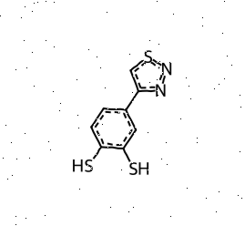 Sc1ccc(-c2csnn2)cc1S